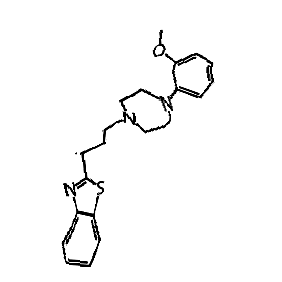 COc1ccccc1N1CCN(CC[CH]c2nc3ccccc3s2)CC1